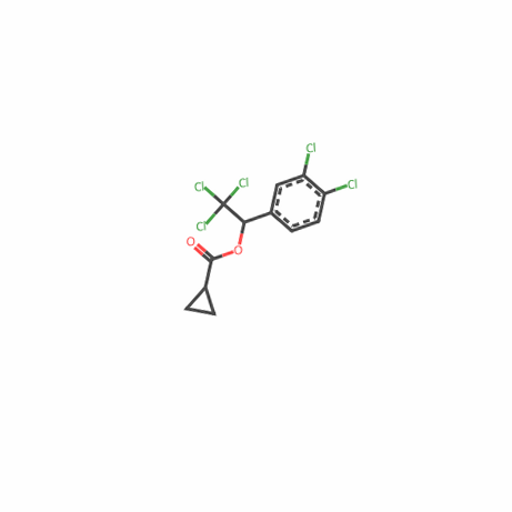 O=C(OC(c1ccc(Cl)c(Cl)c1)C(Cl)(Cl)Cl)C1CC1